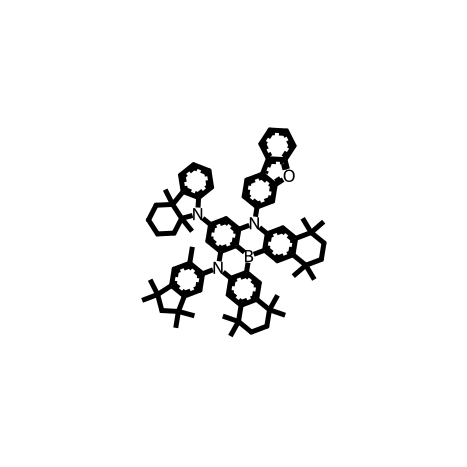 Cc1cc2c(cc1N1c3cc4c(cc3B3c5cc6c(cc5N(c5ccc7c(c5)oc5ccccc57)c5cc(N7c8ccccc8C8(C)CCCCC78C)cc1c53)C(C)(C)CCC6(C)C)C(C)(C)CCC4(C)C)C(C)(C)CC2(C)C